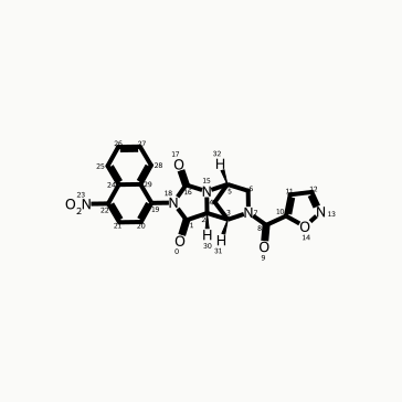 O=C1[C@H]2[C@@H]3C[C@@H](CN3C(=O)c3ccno3)N2C(=O)N1c1ccc([N+](=O)[O-])c2ccccc12